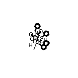 CC(c1cccc2ccccc12)N(C)C(=O)C1C(C(=O)O)N(Cc2ccccc2)C(=O)N1Cc1ccccc1